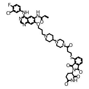 C=CC(=O)Nc1cc2c(Nc3ccc(F)c(Cl)c3)ncnc2cc1OCCCN1CCC(N2CCN(C(=O)CCSc3cccc4c3C(=O)N(C3CCC(=O)NC3=O)C4=O)CC2)CC1